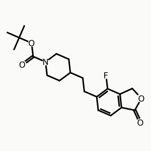 CC(C)(C)OC(=O)N1CCC(CCc2ccc3c(c2F)COC3=O)CC1